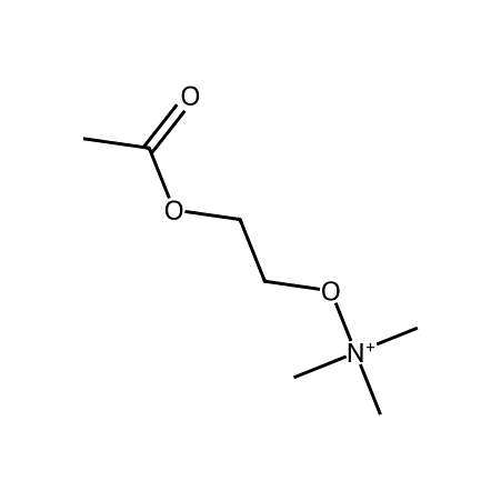 CC(=O)OCCO[N+](C)(C)C